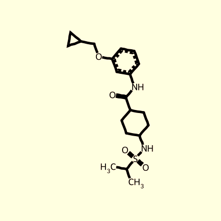 CC(C)S(=O)(=O)NC1CCC(C(=O)Nc2cccc(OCC3CC3)c2)CC1